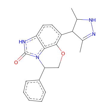 CC1=NNC(C)C1c1ccc2[nH]c(=O)n3c2c1OCC3c1ccccc1